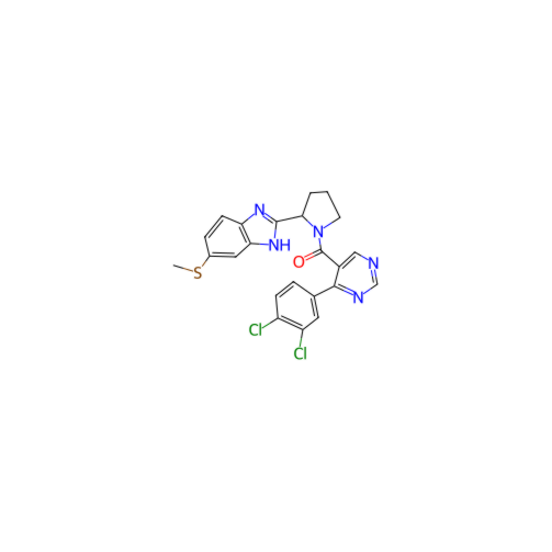 CSc1ccc2nc(C3CCCN3C(=O)c3cncnc3-c3ccc(Cl)c(Cl)c3)[nH]c2c1